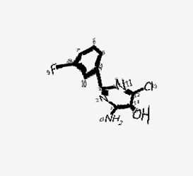 Nc1nc(-c2cccc(F)c2)nc(Cl)c1O